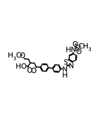 COCCC(CC(=O)c1ccc(-c2ccc(Nc3nc4ccc(NS(C)(=O)=O)cc4s3)cc2)cc1)C(=O)O